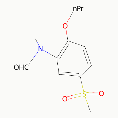 CCCOc1ccc(S(C)(=O)=O)cc1N(C)C=O